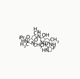 CC(C)C(=O)NC1(C)CC(CC(C)C(=O)NC2CN(C)CC(CC(C)C(=O)NC3CNCCC3F)C2O)CN(C)C1